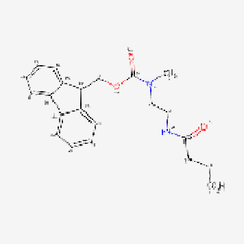 CN(CCNC(=O)CCC(=O)O)C(=O)OCC1c2ccccc2-c2ccccc21